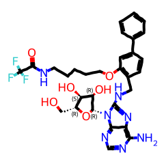 Nc1ncnc2c1nc(NCc1ccc(-c3ccccc3)cc1OCCCCCNC(=O)C(F)(F)F)n2[C@@H]1O[C@H](CO)[C@@H](O)[C@H]1O